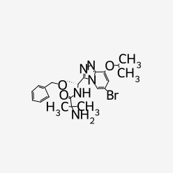 CC(C)Oc1cc(Br)cn2c([C@@H](COCc3ccccc3)NC(=O)C(C)(C)N)nnc12